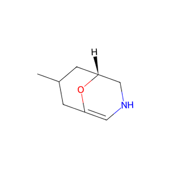 CC1CC2=CNC[C@@H](C1)O2